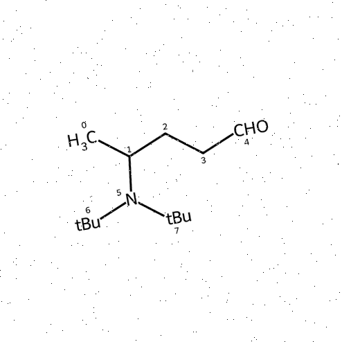 CC(CCC=O)N(C(C)(C)C)C(C)(C)C